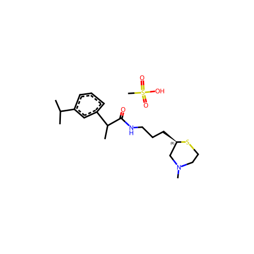 CC(C)c1cccc(C(C)C(=O)NCCC[C@@H]2CN(C)CCS2)c1.CS(=O)(=O)O